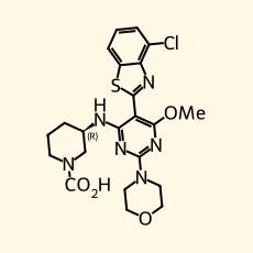 COc1nc(N2CCOCC2)nc(N[C@@H]2CCCN(C(=O)O)C2)c1-c1nc2c(Cl)cccc2s1